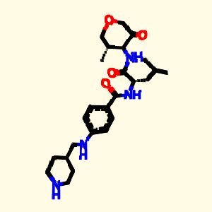 CC(C)C[C@H](NC(=O)c1ccc(NCC2CCNCC2)cc1)C(=O)N[C@@H]1C(=O)COC[C@H]1C